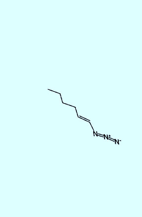 CCCCC=CN=[N+]=[N-]